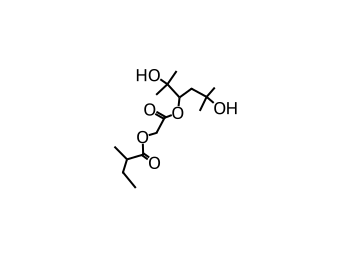 CCC(C)C(=O)OCC(=O)OC(CC(C)(C)O)C(C)(C)O